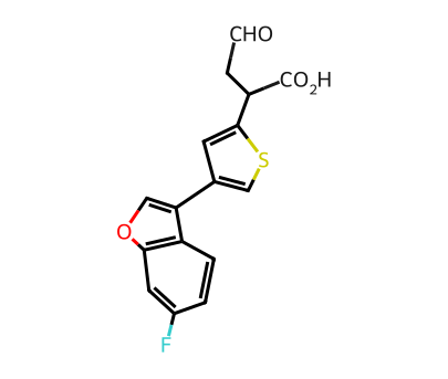 O=CCC(C(=O)O)c1cc(-c2coc3cc(F)ccc23)cs1